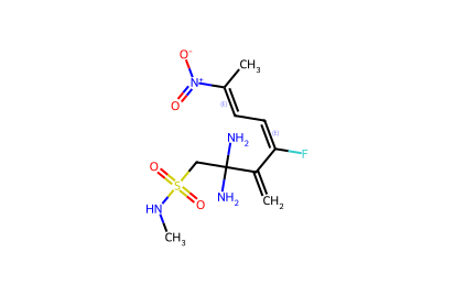 C=C(/C(F)=C\C=C(/C)[N+](=O)[O-])C(N)(N)CS(=O)(=O)NC